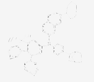 CC1(C)c2ccccc2-c2c(-c3ccccc3)cc(N(c3ccc(C4CC5CCC4C5)cc3)c3ccc4ccc(C5CCCCC5)cc4c3)cc21